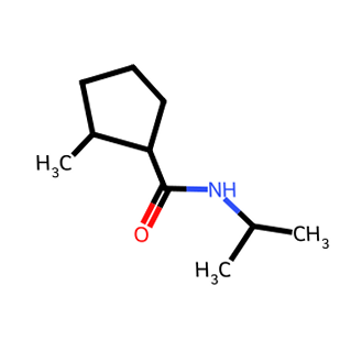 CC(C)NC(=O)C1CCCC1C